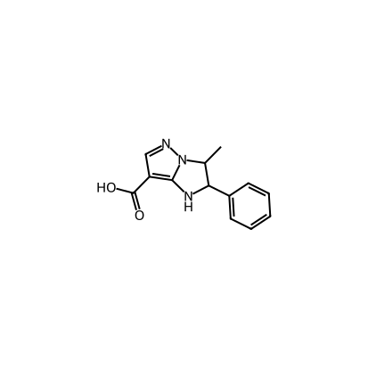 CC1C(c2ccccc2)Nc2c(C(=O)O)cnn21